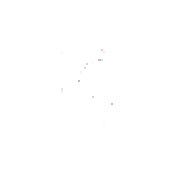 CC(=CC(C)(C)C(C)C)C(N)=O.Cl.N